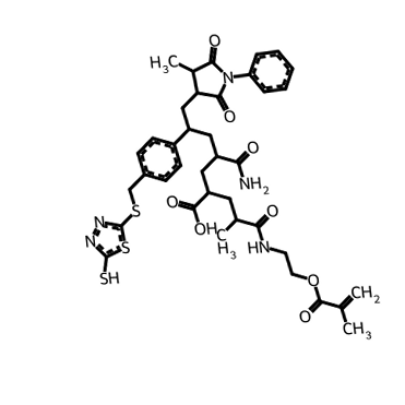 C=C(C)C(=O)OCCNC(=O)C(C)CC(CC(CC(CC1C(=O)N(c2ccccc2)C(=O)C1C)c1ccc(CSc2nnc(S)s2)cc1)C(N)=O)C(=O)O